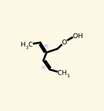 C/C=C\C(=C/C)COO